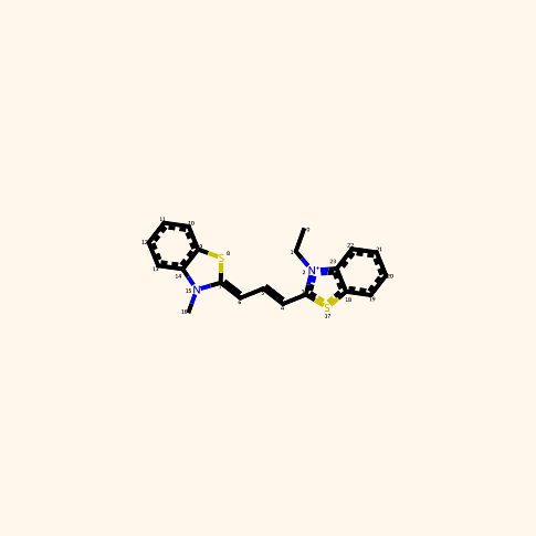 CC[n+]1c(/C=C/C=C2\Sc3ccccc3N2C)sc2ccccc21